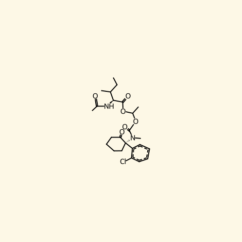 CCC(C)[C@H](NC(C)=O)C(=O)OC(C)OC(=O)N(C)[C@]1(c2ccccc2Cl)CCCCC1=O